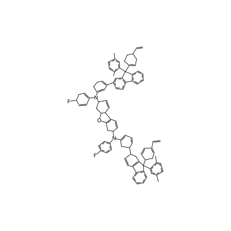 C=CC1=CCC(C2(c3cc(C)ccc3C)C3=C(C=CC(C4C=CC=C(N(c5ccc(F)cc5)C5C=CC6=C(C5)OC5CC(N(C7=CCC(F)C=C7)C7=CC(c8ccc9c(c8)C(C8=CCC(C=C)CC8)(c8cc(C)ccc8C)c8ccccc8-9)=CCC7)C=CC65)C4)C3)c3ccccc32)C=C1